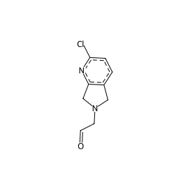 O=CCN1Cc2ccc(Cl)nc2C1